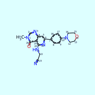 Cn1cnc2cc(-c3ccc(N4CCOCC4)cc3)nc(NCC#N)c2c1=O